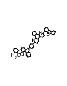 Cc1ccccc1-c1ccc2c(c1C)c1ccccc1n2-c1ccc(-c2ccc3c4ccc(-c5cccc6c5sc5ccccc56)nc4c4ccccc4c3n2)cc1